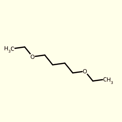 CCOCCCCOCC